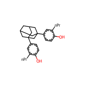 CCCc1cc(C23CC4CC(C2)CC(c2ccc(O)c(CCC)c2)(C4)C3)ccc1O